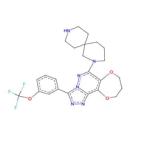 FC(F)(F)Oc1cccc(-c2nnc3c4c(c(N5CCCC6(CCNCC6)C5)nn23)OCCCO4)c1